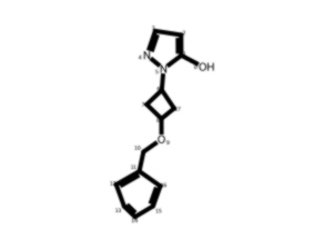 Oc1ccnn1C1CC(OCc2ccccc2)C1